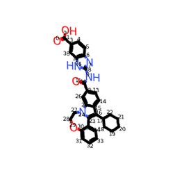 O=C(O)c1ccc2nc(NC(=O)c3ccc4c(C5CCCCC5)c5n(c4c3)CCOc3ccccc3-5)[nH]c2c1